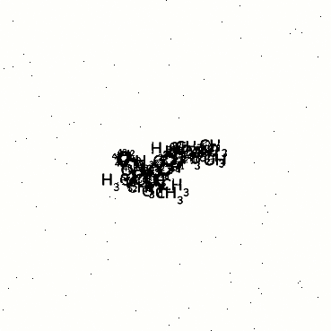 CC(C)C1=C2[C@H]3CC[C@@H]4[C@@]5(C)CC[C@H](OC(=O)CC(C)(C)C(=O)O)C(C)(C)[C@@H]5CC[C@@]4(C)[C@]3(C)CC[C@@]2(CCN(Cc2ccccc2)C(=O)C(=O)N(C)C)CC1=O